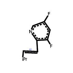 CC(C)/C=C/c1ncc(F)cc1F